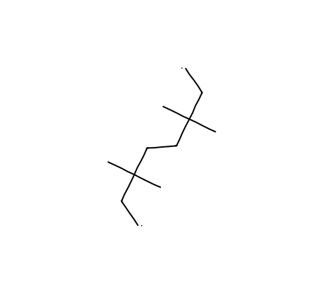 [CH2]CC(C)(C)CCC(C)(C)C[CH2]